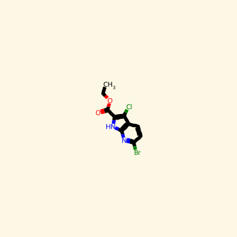 CCOC(=O)c1[nH]c2nc(Br)ccc2c1Cl